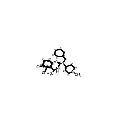 CC(NC(=O)N(CC1CCCCC1)C1CCN(C)CC1)c1cccc(Cl)c1Cl